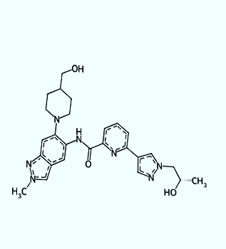 C[C@H](O)Cn1cc(-c2cccc(C(=O)Nc3cc4cn(C)nc4cc3N3CCC(CO)CC3)n2)cn1